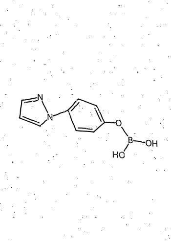 OB(O)Oc1ccc(-n2cccn2)cc1